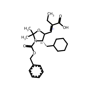 CC/C(=C\C1OC(C)(C)N(C(=O)OCc2ccccc2)[C@H]1CC1CCCCC1)C(=O)O